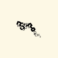 CCOc1ccc(-c2cccc(C(=O)NN=Cc3cccnc3N3CCOCC3)n2)cc1